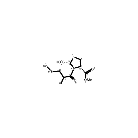 COC(=O)[C@H]1CS[C@@H](C(=O)O)N1C(=O)C(C)CSC(C)=O